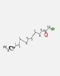 CCCCCCCCCCC(=O)CBr